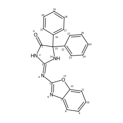 O=C1NC(=Nc2nc3ccccc3o2)NC1(c1ccccc1)c1ccccc1